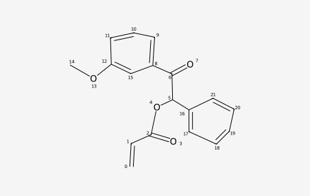 C=CC(=O)OC(C(=O)c1cccc(OC)c1)c1ccccc1